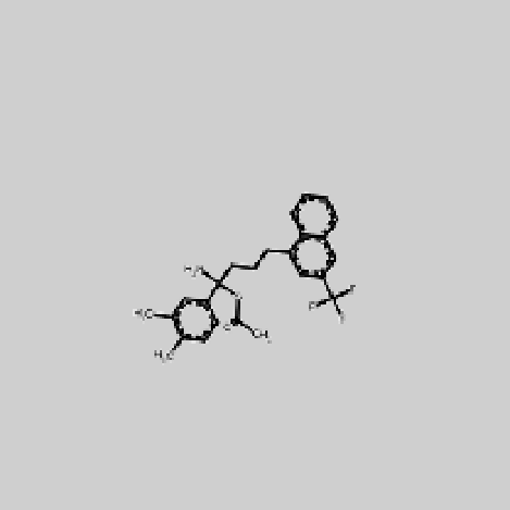 CC(=O)OC(N)(CCCc1cc(C(F)(F)F)cc2ccccc12)c1ccc(C)c(C)c1